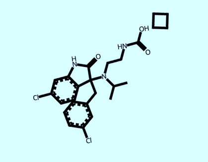 C1CCC1.CC(C)N(CCNC(=O)O)C1(Cc2cccc(Cl)c2)C(=O)Nc2cc(Cl)ccc21